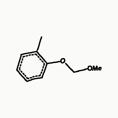 COCOc1ccccc1C